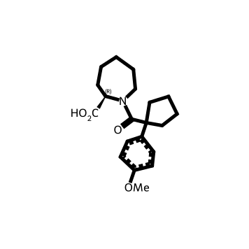 COc1ccc(C2(C(=O)N3CCCCC[C@@H]3C(=O)O)CCCC2)cc1